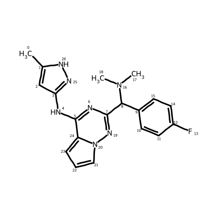 Cc1cc(Nc2nc(C(c3ccc(F)cc3)N(C)C)nn3cccc23)n[nH]1